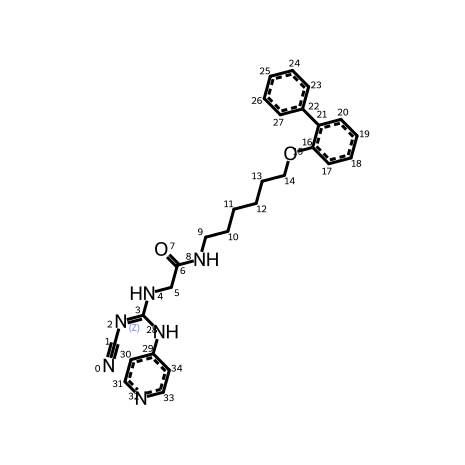 N#C/N=C(/NCC(=O)NCCCCCCOc1ccccc1-c1ccccc1)Nc1ccncc1